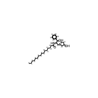 CCCCCCCCCCCCCCCC(=O)NC(CN1CCC(O)C1)[C@H](O)c1ccccc1